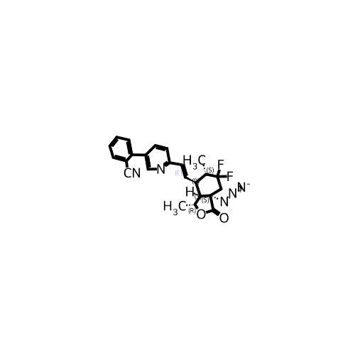 C[C@H]1OC(=O)[C@]2(N=[N+]=[N-])CC(F)(F)[C@@H](C)[C@H](/C=C/c3ccc(-c4ccccc4C#N)cn3)[C@H]12